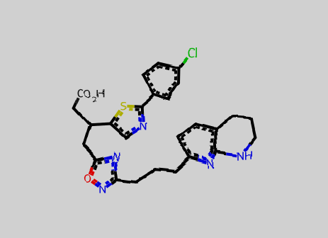 O=C(O)CC(Cc1nc(CCCc2ccc3c(n2)NCCC3)no1)c1cnc(-c2ccc(Cl)cc2)s1